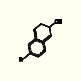 OC1C=c2ccc(Br)cc2=CC1